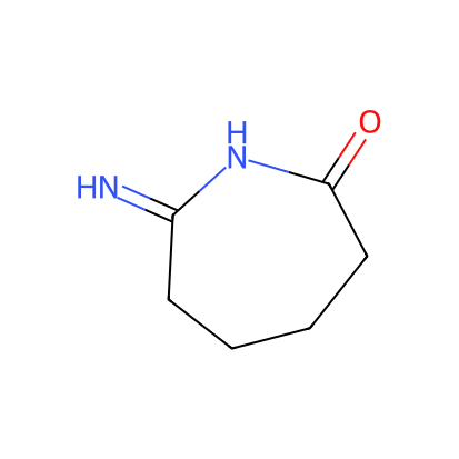 N=C1CCCCC(=O)N1